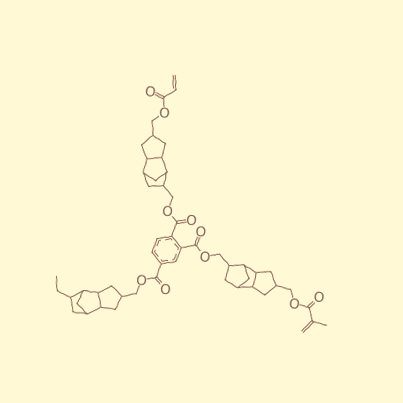 C=CC(=O)OCC1CC2C3CC(COC(=O)c4ccc(C(=O)OCC5CC6C7CC(CC)C(C7)C6C5)cc4C(=O)OCC4CC5CC4C4CC(COC(=O)C(=C)C)CC54)C(C3)C2C1